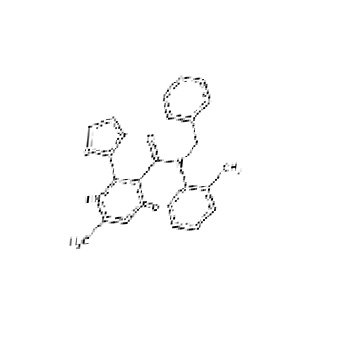 Cc1cc(=O)c(C(=O)N(Cc2ccccc2)c2ccccc2C)c(-c2ccco2)[nH]1